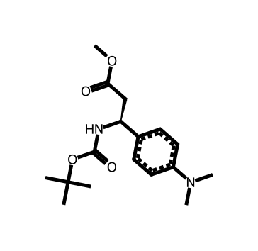 COC(=O)C[C@H](NC(=O)OC(C)(C)C)c1ccc(N(C)C)cc1